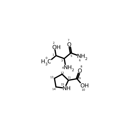 CC(O)C(N)C(N)=O.O=C(O)C1CCCN1